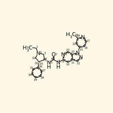 CCN1C[C@H](NC(=O)Nc2cc3cnn(-c4ccnc(C)c4)c3cn2)[C@@H](c2ccccc2)C1